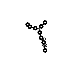 c1ccc(-c2ccc(N(c3ccc(-c4ccc5ccccc5c4)cc3)c3ccc(-c4ccc5c(c4)oc4cc6oc(-c7ccccc7)nc6cc45)cc3)cc2)cc1